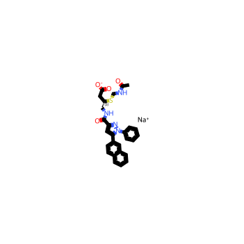 CC(=O)NCS[C@H](CNC(=O)c1cc(-c2ccc3ccccc3c2)n(-c2ccccc2)n1)CC(=O)[O-].[Na+]